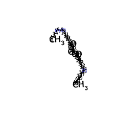 CCCCC/C=C\C/C=C\CCCCCCCC(=O)OCC(=O)COC(=O)CCCCCCC/C=C\CCCCCCCC